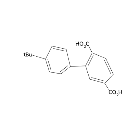 CC(C)(C)c1ccc(-c2cc(C(=O)O)ccc2C(=O)O)cc1